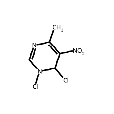 CC1=C([N+](=O)[O-])C(Cl)N(Cl)C=N1